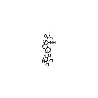 C[C@@H]1CNc2c(oc3ccc4nc(Oc5ncnc(Cl)c5Cl)ccc4c23)C(=O)N1